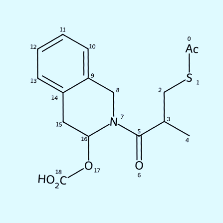 CC(=O)SCC(C)C(=O)N1Cc2ccccc2CC1OC(=O)O